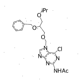 CC(=O)Nc1nc(Cl)c2c(ncn2COCC(COC(C)C)OCc2ccccc2)n1